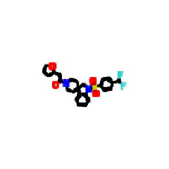 O=C(CC1CCCO1)N1CCC2(CC1)CN(S(=O)(=O)c1ccc(C(F)F)cc1)c1ccccc12